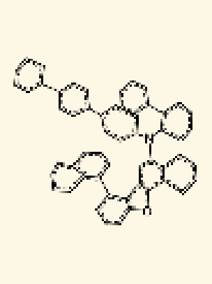 c1ccc(-c2ccc(-c3ccc(N(c4ccccc4-c4ccccc4)c4cc5c(oc6cccc(-c7cccc8ccccc78)c65)c5ccccc45)cc3)cc2)cc1